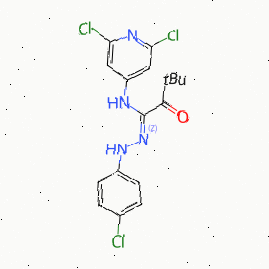 CC(C)(C)C(=O)/C(=N/Nc1ccc(Cl)cc1)Nc1cc(Cl)nc(Cl)c1